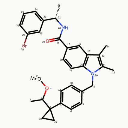 COOC(C)C1(c2ccc(Cn3c(C)c(C)c4cc(C(=O)N[C@@H](C)c5cccc(Br)c5)ccc43)cc2)CC1